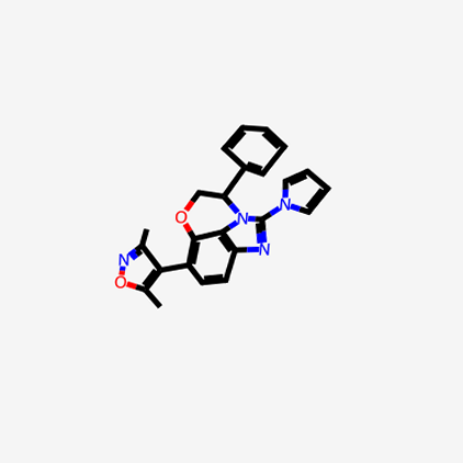 Cc1noc(C)c1-c1ccc2nc(-n3cccc3)n3c2c1OCC3c1ccccc1